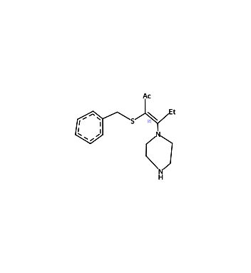 CC/C(=C(/SCc1ccccc1)C(C)=O)N1CCNCC1